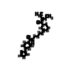 CCN(CC)C(=O)C1CCCN(CCCCNC(=O)c2ccc(-c3cccs3)cc2)C1